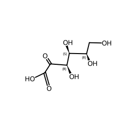 O=C(O)C(=O)[C@H](O)[C@@H](O)[C@H](O)CO